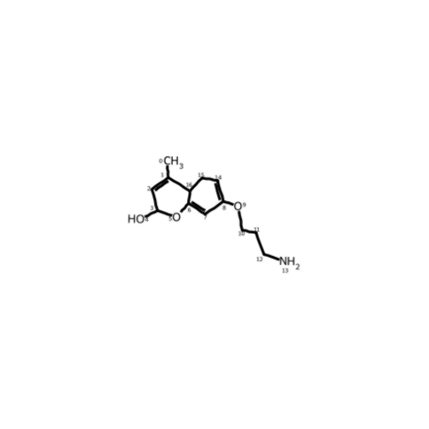 CC1=CC(O)OC2=CC(OCCCN)=CCC12